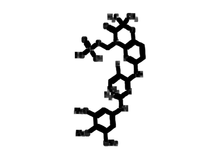 C=C(/N=C(Nc1ccc2c(n1)N(COP(=O)(O)O)C(=O)C(C)(C)O2)\C(F)=C/N)Nc1cc(OC)c(OC)c(OC)c1